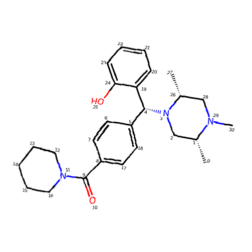 C[C@@H]1CN([C@H](c2ccc(C(=O)N3CCCCC3)cc2)c2ccccc2O)[C@H](C)CN1C